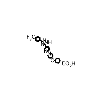 O=C(O)C[C@H]1CC[C@@H](OC2CCN(c3ccc(-c4nc(-c5ccc(C(F)(F)F)cc5)n[nH]4)cn3)CC2)CC1